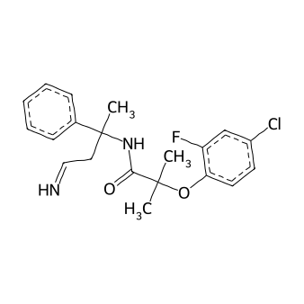 CC(C)(Oc1ccc(Cl)cc1F)C(=O)NC(C)(CC=N)c1ccccc1